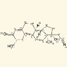 C[C@H]1CC2=C3C=C[C@@]4(C)[C@@H](CC[C@@]4(O)CC#N)[C@@H]3CCC2=CC1=O